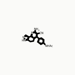 CC(=O)Nc1ccc(-c2c(C#N)c(N)nc3c2CCc2[nH]ncc2-3)cc1